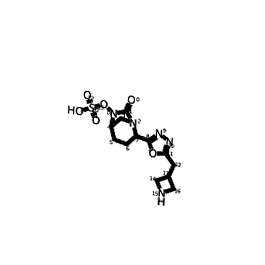 O=C1N2CC(CCC2c2nnc(CC3CNC3)o2)N1OS(=O)(=O)O